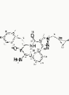 NC(=O)C(=O)[C@H](Cc1ccccc1)NC(=O)c1cn(CC2CC2)nc1-c1ccccc1